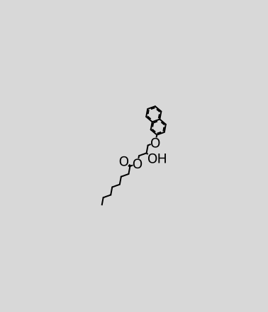 CCCCCCCC(=O)OCC(O)COc1ccc2ccccc2c1